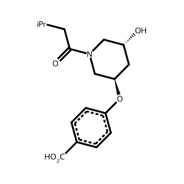 CC(C)CC(=O)N1C[C@H](O)C[C@@H](Oc2ccc(C(=O)O)cc2)C1